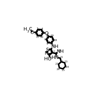 COc1ccc(Oc2ccc(Nc3snc(O)c3C(=N)NCC3CCCCC3)cc2)cc1